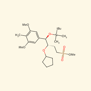 COc1cc([C@@H](O[Si](C)(C)C(C)(C)C)[C@H](CCS(=O)(=O)OC)OC2CCCC2)cc(OC)c1C